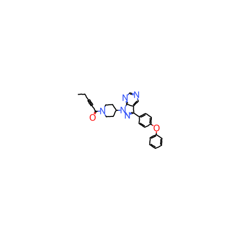 CCC#CC(=O)N1CCC(n2nc(-c3ccc(Oc4ccccc4)cc3)c3cncnc32)CC1